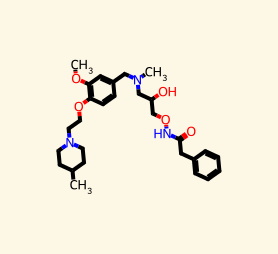 COc1cc(CN(C)CC(O)CONC(=O)Cc2ccccc2)ccc1OCCN1CCC(C)CC1